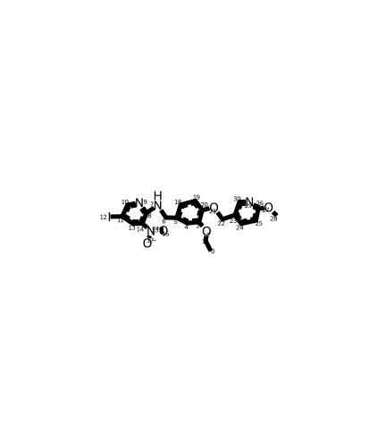 CCOc1cc(CNc2ncc(I)cc2[N+](=O)[O-])ccc1OCc1ccc(OC)nc1